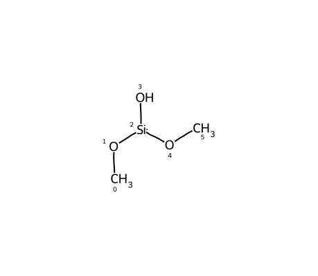 CO[Si](O)OC